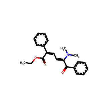 CCOC(=S)C(=CC=C(C(=O)c1ccccc1)N(C)C)c1ccccc1